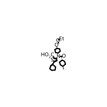 CCOCO[C@H]1CC[C@H](N(c2cc(C3=CCCCC3)sc2C(=O)O)C(=O)[C@H]2CC[C@H](C)CC2)CC1